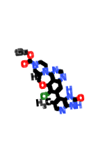 Cc1cnc2[nH]c(=O)[nH]c2c1-c1cc2ncnc3c2c(c1Cl)OC[C@@H]1CN(C(=O)OC(C)(C)C)CCN31